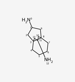 NC1CC23CCCCC2(C1)CC(N)C3